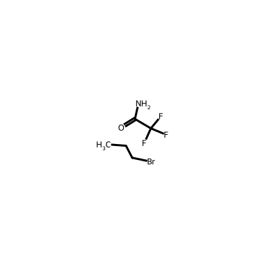 CCCBr.NC(=O)C(F)(F)F